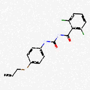 C=CCSc1ccc(NC(=O)NC(=O)c2c(F)cccc2F)cc1